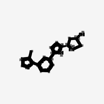 Cc1ncsc1-c1cccc(-c2ccc([C@@H]3C[C@@H](O)CN3)[nH]2)c1